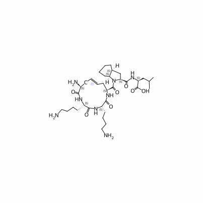 CC(C)C[C@H](NC(=O)[C@@H]1C[C@@H]2CCCC[C@@H]2N1C(=O)[C@@H]1C/C=C/C[C@H](N)C(=O)N[C@@H](CCCCN)C(=O)N[C@@H](CCCCN)C(=O)N1)C(=O)O